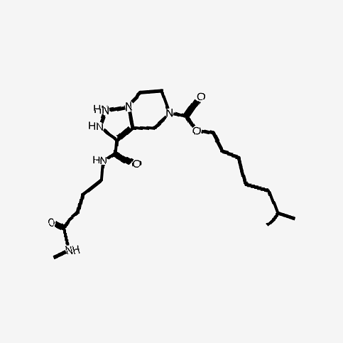 CNC(=O)CCCNC(=O)C1=C2CN(C(=O)OCCCCCC(C)C)CCN2NN1